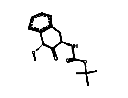 CO[C@H]1C(=O)[C@H](NC(=O)OC(C)(C)C)Cc2ccccc21